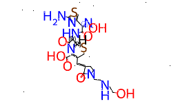 Nc1nc(/C(=N/O)C(=O)N[C@@H]2C(=O)N3C(C(=O)O)=C(C=C4CCN(CCNCCO)C4=O)CS[C@H]23)cs1